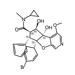 COc1cncc2c1[C@]1(O)[C@H](O)[C@H](C(=O)N(C)C3CC3)[C@@H](c3ccccc3)[C@]1(C1C=CC(Br)=CC1)O2